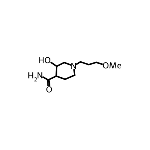 COCCCN1CCC(C(N)=O)C(O)C1